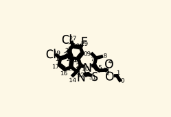 CCOC(=O)C1=C(C(C)C)N2C(=NC(C)(c3ccc(Cl)cc3)C2c2ccc(Cl)c(F)c2)S1